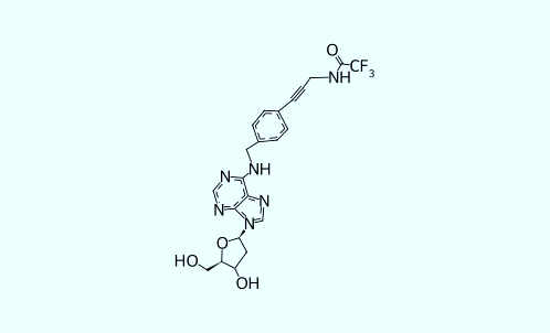 O=C(NCC#Cc1ccc(CNc2ncnc3c2ncn3[C@H]2CC(O)[C@@H](CO)O2)cc1)C(F)(F)F